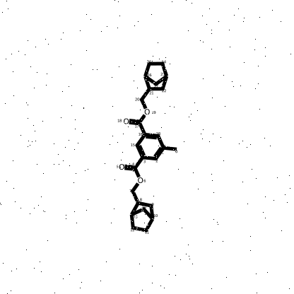 Cc1cc(C(=O)OCC2CC3CCC2C3)cc(C(=O)OCC2CC3CCC2C3)c1